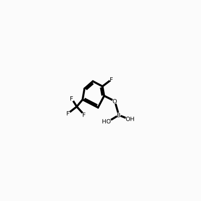 OB(O)Oc1cc(C(F)(F)F)ccc1F